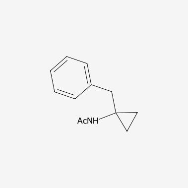 CC(=O)NC1(Cc2ccccc2)CC1